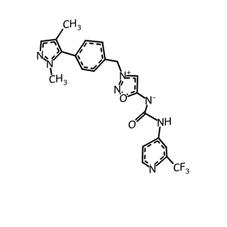 Cc1cnn(C)c1-c1ccc(C[n+]2cc([N-]C(=O)Nc3ccnc(C(F)(F)F)c3)on2)cc1